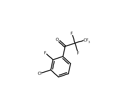 O=C(c1cccc(Cl)c1F)C(F)(F)C(F)(F)F